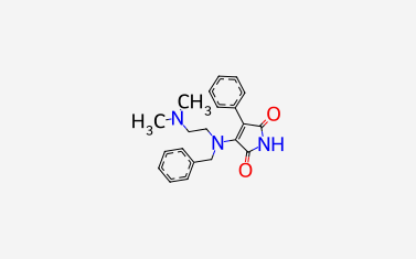 CN(C)CCN(Cc1ccccc1)C1=C(c2ccccc2)C(=O)NC1=O